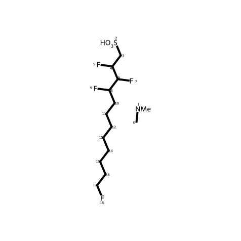 CNC.O=S(=O)(O)CC(F)C(F)C(F)CCCCCCCCF